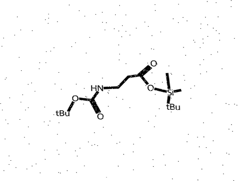 CC(C)(C)OC(=O)NCCC(=O)O[Si](C)(C)C(C)(C)C